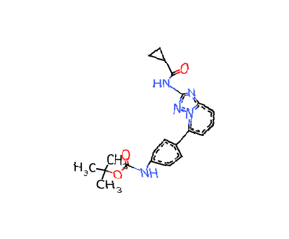 CC(C)(C)OC(=O)Nc1ccc(-c2cccc3nc(NC(=O)C4CC4)nn23)cc1